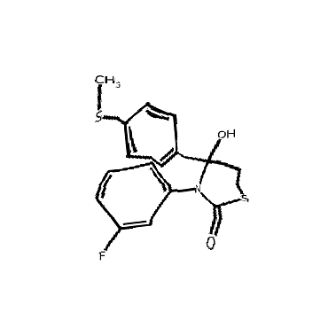 CSc1ccc(C2(O)CSC(=O)N2c2cccc(F)c2)cc1